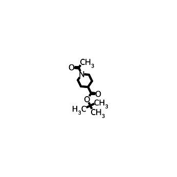 CC(=O)N1CCC(C(=O)OC(C)(C)C)CC1